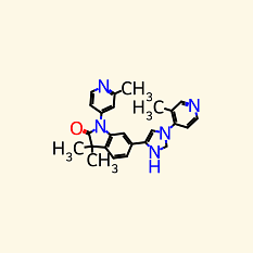 Cc1cc(N2C(=O)C(C)(C)c3ccc(C4=CN(c5ccncc5C)CN4)cc32)ccn1